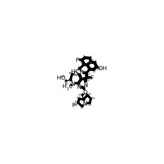 C#Cc1c(F)ccc2cc(O)cc(-c3nc4c5c(nc(OC[C@@]67CCCN6C[C@H](F)C7)nc5c3F)N(C)[C@@H](CO)CO4)c12